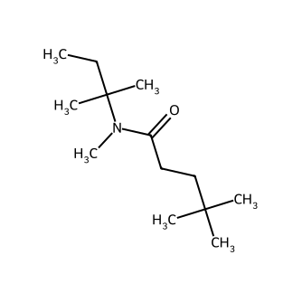 CCC(C)(C)N(C)C(=O)CCC(C)(C)C